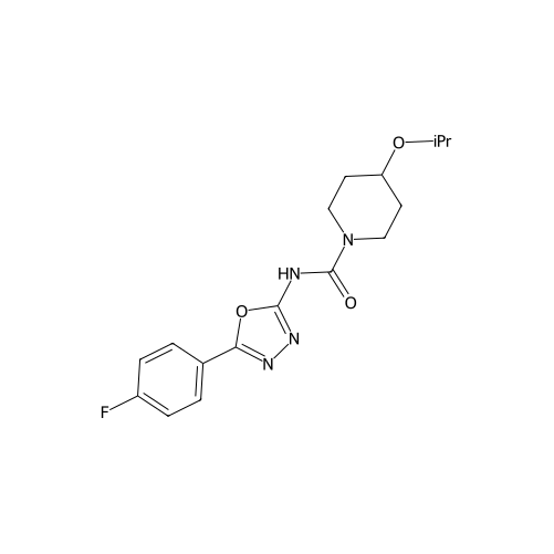 CC(C)OC1CCN(C(=O)Nc2nnc(-c3ccc(F)cc3)o2)CC1